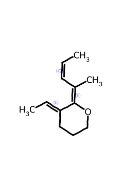 C\C=C/C(C)=C1/OCCC/C1=C\C